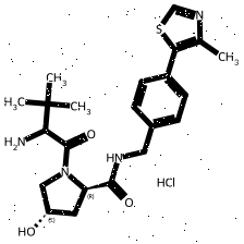 Cc1ncsc1-c1ccc(CNC(=O)[C@H]2C[C@H](O)CN2C(=O)C(N)C(C)(C)C)cc1.Cl